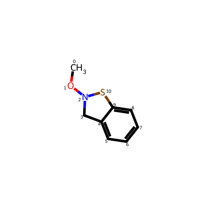 CON1Cc2ccccc2S1